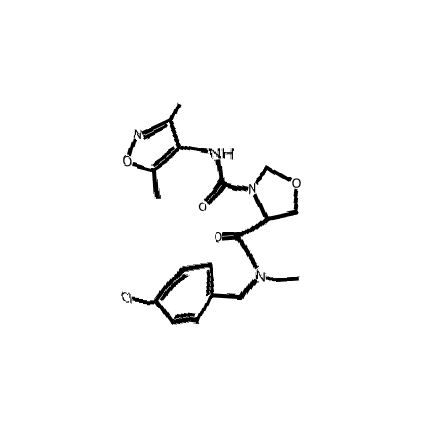 Cc1noc(C)c1NC(=O)N1COCC1C(=O)N(C)Cc1ccc(Cl)cc1